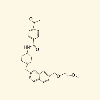 COCCOCc1ccc2ccc(CN3CCC(NC(=O)c4ccc(C(C)=O)cc4)CC3)cc2c1